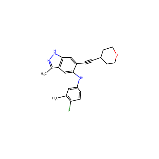 Cc1cc(Nc2cc3c(C)n[nH]c3cc2C#CC2CCOCC2)ccc1F